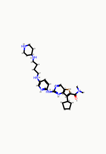 CN(C)C(=O)c1sc2cnc(Nc3ccc(NCCCCNC4CCNCC4)cn3)nc2c1C1CCCC1